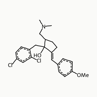 COc1ccc(/C=C2\CCC(CN(C)C)C2(O)Cc2ccc(Cl)cc2Cl)cc1